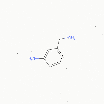 NCc1cc[c]c(N)c1